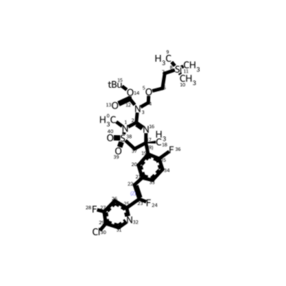 CN1C(N(COCC[Si](C)(C)C)C(=O)OC(C)(C)C)=N[C@](C)(c2cc(/C=C(\F)c3cc(F)c(Cl)cn3)ccc2F)CS1(=O)=O